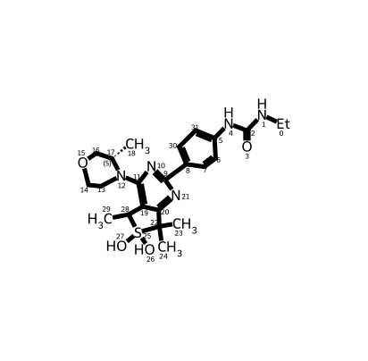 CCNC(=O)Nc1ccc(-c2nc(N3CCOC[C@@H]3C)c3c(n2)C(C)(C)S(O)(O)C3C)cc1